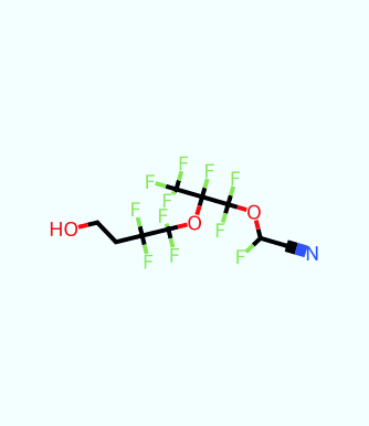 N#CC(F)OC(F)(F)C(F)(OC(F)(F)C(F)(F)CCO)C(F)(F)F